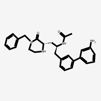 CC(=O)N[C@@H](Cc1cccc(-c2cccc(N)c2)c1)C[C@@H]1NCCN(Cc2ccccc2)C1=O